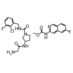 NCC(=O)N[C@@H]1C[C@@H](COC(=O)Nc2cc3cc(F)ccc3cn2)N(C(=O)NCc2cccc(F)c2Cl)C1